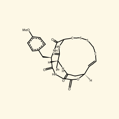 COc1ccc(C[C@H]2NC(=O)C3CSSCC/C=C/[C@H](CC(=O)N[C@H](C(C)C)C(=O)N3)OC(=O)CNC2=O)cc1